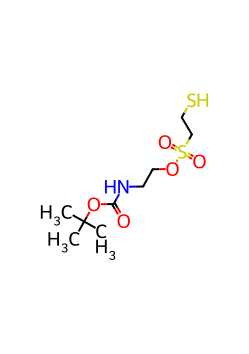 CC(C)(C)OC(=O)NCCOS(=O)(=O)CCS